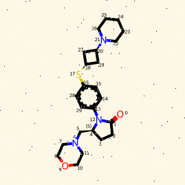 O=C1CC[C@@H](CN2CCOCC2)N1c1ccc(S[C@H]2C[C@H](N3CCCCC3)C2)cc1